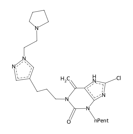 C=C1c2[nH]c(Cl)nc2N(CCCCC)C(=O)N1CCCc1cnn(CCN2CCCC2)c1